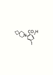 O=C(O)c1ccc(I)cc1N1CCC2(CCC2)CC1